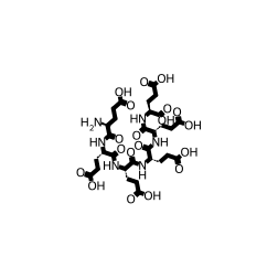 N[C@@H](CCC(=O)O)C(=O)N[C@@H](CCC(=O)O)C(=O)N[C@@H](CCC(=O)O)C(=O)N[C@@H](CCC(=O)O)C(=O)N[C@@H](CCC(=O)O)C(=O)N[C@@H](CCC(=O)O)C(=O)O